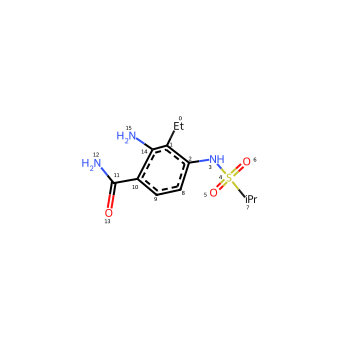 CCc1c(NS(=O)(=O)C(C)C)ccc(C(N)=O)c1N